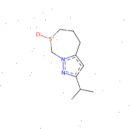 CC(C)c1cc2n(n1)C[S+]([O-])CCC2